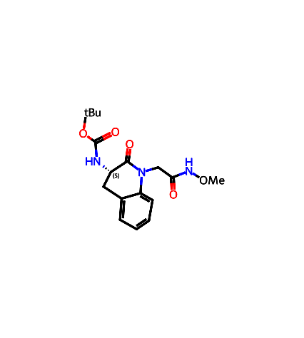 CONC(=O)CN1C(=O)[C@@H](NC(=O)OC(C)(C)C)Cc2ccccc21